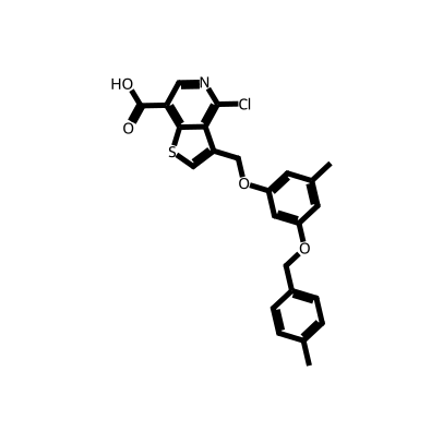 Cc1ccc(COc2cc(C)cc(OCc3csc4c(C(=O)O)cnc(Cl)c34)c2)cc1